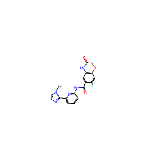 CC(C)n1cnnc1-c1cccc(NC(=O)c2cc3c(cc2F)OCC(=O)N3)n1